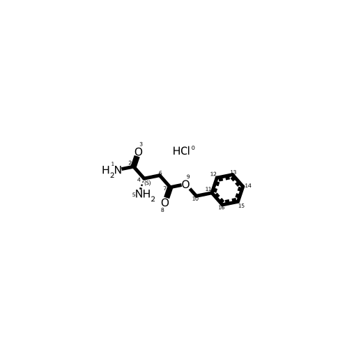 Cl.NC(=O)[C@@H](N)CC(=O)OCc1ccccc1